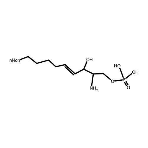 CCCCCCCCCCCCCC=CC(O)C(N)COP(=O)(O)O